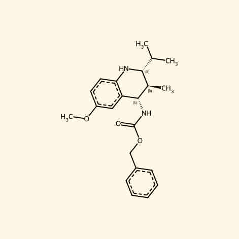 COc1ccc2c(c1)[C@@H](NC(=O)OCc1ccccc1)[C@H](C)[C@@H](C(C)C)N2